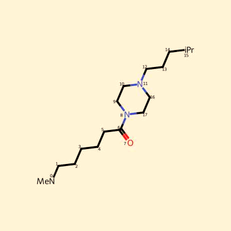 CNCCCCCC(=O)N1CCN(CCCC(C)C)CC1